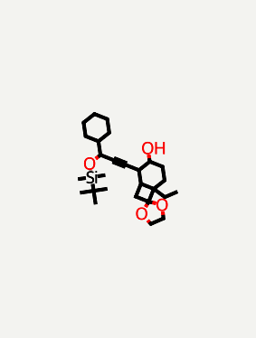 CCC12CCC(O)C(C#CC(O[Si](C)(C)C(C)(C)C)C3CCCCC3)C1CC21OCCO1